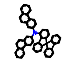 c1ccc2c(c1)-c1ccccc1C21c2ccccc2-c2c(N(c3ccc4c(ccc5ccccc54)c3)c3ccc4c(ccc5ccccc54)c3)cccc21